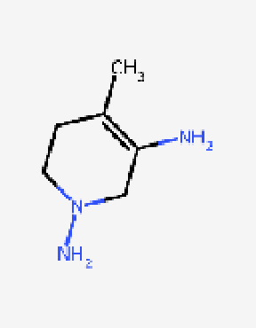 CC1=C(N)CN(N)CC1